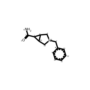 NC(=O)C1C2CN(Cc3ccccc3)CC21